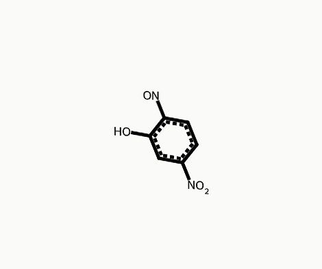 O=Nc1ccc([N+](=O)[O-])cc1O